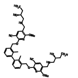 COc1nc(OCc2cccc(-c3cccc(COc4nc(OC)c(CNC[C@@H](O)CC(=O)O)cc4C#N)c3C)c2C)c(C#N)cc1CNC[C@@H](O)CC(=O)O